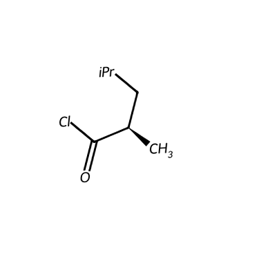 CC(C)C[C@@H](C)C(=O)Cl